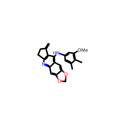 C=C1CCc2nc3cc4c(cc3c(Nc3cc(C)c(C)c(OC)c3)c21)OCO4